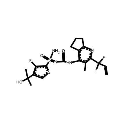 C=CC(F)(F)c1nc2c(c(NC(=O)N=S(N)(=O)c3scc(C(C)(C)O)c3F)c1C)CCC2